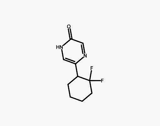 O=c1cnc(C2CCCCC2(F)F)c[nH]1